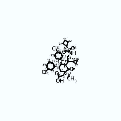 CC[C@]1(CC(=O)O)C[C@H](c2cccc(Cl)c2)[C@@H](c2ccc(Cl)cc2)N(C(CNS(=O)(=O)C2CCC2)C2CC2)C1=O